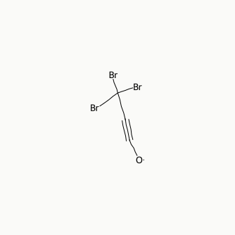 [O]C#CC(Br)(Br)Br